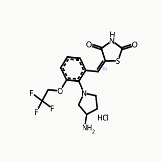 Cl.NC1CCN(c2c(/C=C3/SC(=O)NC3=O)cccc2OCC(F)(F)F)C1